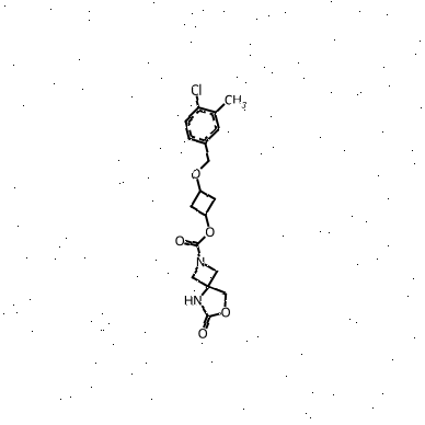 Cc1cc(COC2CC(OC(=O)N3CC4(COC(=O)N4)C3)C2)ccc1Cl